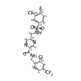 O=C(NCc1ncc(C(F)(F)F)cc1Cl)c1cnc(CNS(=O)(=O)c2ccc(F)c(Cl)c2)cn1